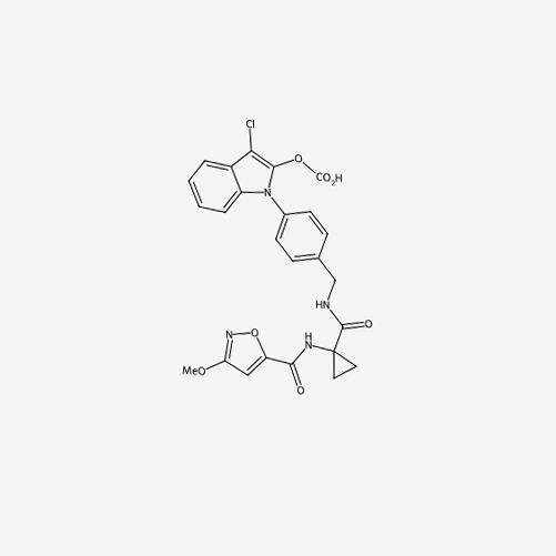 COc1cc(C(=O)NC2(C(=O)NCc3ccc(-n4c(OC(=O)O)c(Cl)c5ccccc54)cc3)CC2)on1